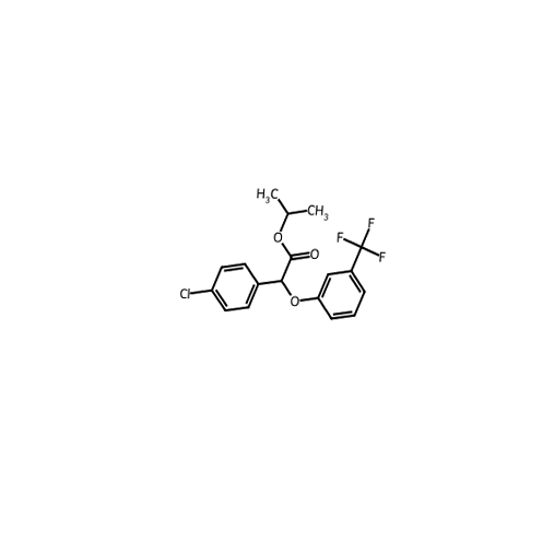 CC(C)OC(=O)C(Oc1cccc(C(F)(F)F)c1)c1ccc(Cl)cc1